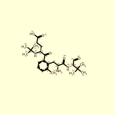 Cc1cccc(C(=O)[C@H](CCC(=O)O)NC(C)(C)C)c1C[C@H](N)C(=O)N[C@H]([C]=O)C(C)(C)C